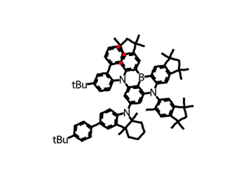 Cc1cc2c(cc1N1c3cc4c(cc3B3c5cc6c(cc5N(c5ccc(C(C)(C)C)cc5-c5ccccc5)c5cc(N7c8ccc(-c9ccc(C(C)(C)C)cc9)cc8C8(C)CCCCC78C)cc1c53)C(C)(C)CC6(C)C)C(C)(C)CC4(C)C)C(C)(C)CC2(C)C